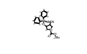 CC(C)(C)OC(=O)N1CC(C#N)C(O[Si](c2ccccc2)(c2ccccc2)C(C)(C)C)C1